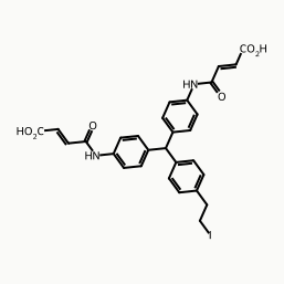 O=C(O)/C=C/C(=O)Nc1ccc(C(c2ccc(CCI)cc2)c2ccc(NC(=O)/C=C/C(=O)O)cc2)cc1